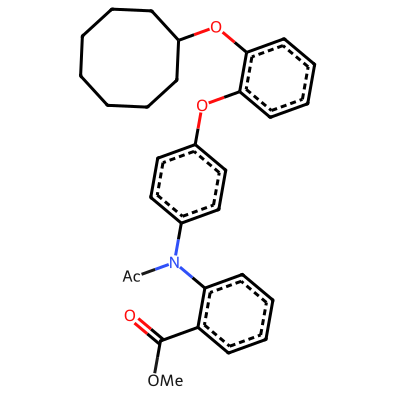 COC(=O)c1ccccc1N(C(C)=O)c1ccc(Oc2ccccc2OC2CCCCCCC2)cc1